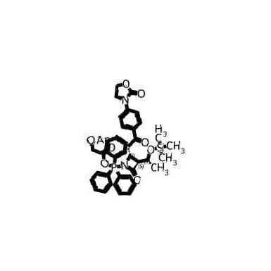 CC(=O)OCC(=O)OP(c1ccccc1)(c1ccccc1)(c1ccccc1)N1C(=O)[C@H]([C@@H](C)O[Si](C)(C)C)[C@H]1CC(=O)c1ccc(N2CCOC2=O)cc1